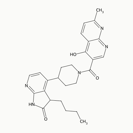 CCCCC1C(=O)Nc2nccc(C3CCN(C(=O)c4cnc5nc(C)ccc5c4O)CC3)c21